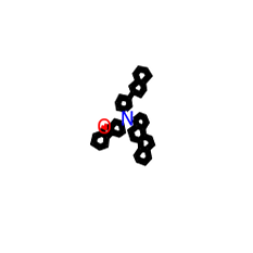 c1cc(-c2ccc3ccccc3c2)cc(N(c2ccc3c(c2)oc2ccccc23)c2cccc3c2ccc2c4ccccc4ccc32)c1